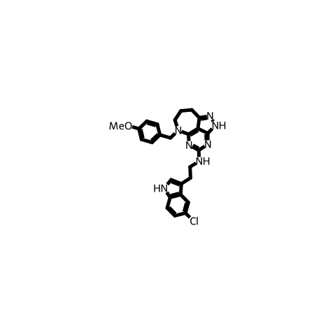 COc1ccc(CN2CCCc3n[nH]c4nc(NCCc5c[nH]c6ccc(Cl)cc56)nc2c34)cc1